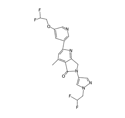 Cc1cc(-c2cncc(OCC(F)F)c2)nc2c1C(=O)N(c1cnn(CC(F)F)c1)C2